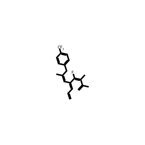 C=C/C=C(\C=C(\C)Cc1ccc(C(F)(F)F)cc1)C(/F)=C(/C)C(=C)C